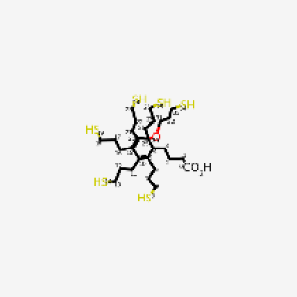 O=C(O)CCCC1C(CCCS)=C(CCCS)C(CCCS)=C(CCCS)C1(CCCS)OCCCS